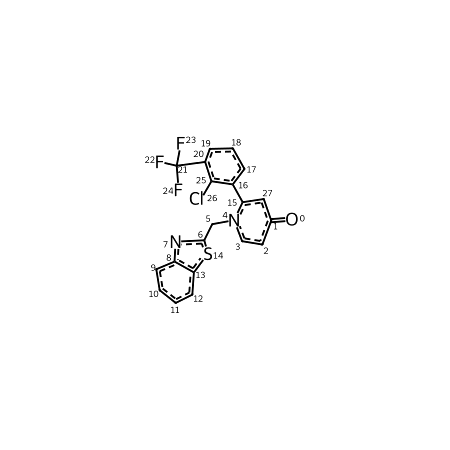 O=c1ccn(Cc2nc3ccccc3s2)c(-c2cccc(C(F)(F)F)c2Cl)c1